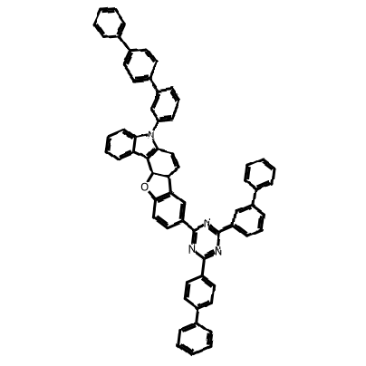 C1=CC2c3cc(-c4nc(-c5ccc(-c6ccccc6)cc5)nc(-c5cccc(-c6ccccc6)c5)n4)ccc3OC2c2c1n(-c1cccc(-c3ccc(-c4ccccc4)cc3)c1)c1ccccc21